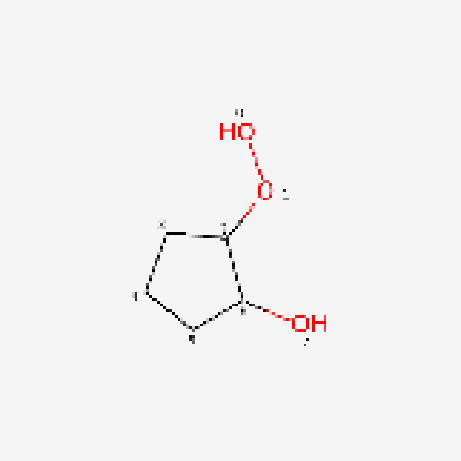 OOC1CCCC1O